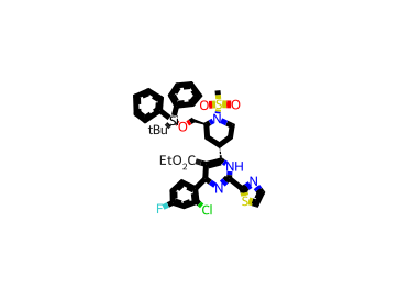 CCOC(=O)C1=C([C@H]2CCN(S(C)(=O)=O)[C@H](CO[Si](c3ccccc3)(c3ccccc3)C(C)(C)C)C2)NC(c2nccs2)=NC1c1ccc(F)cc1Cl